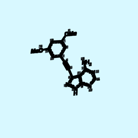 COc1cc(C#Cc2n[nH]c3ncnc(N)c23)cc(OC)c1